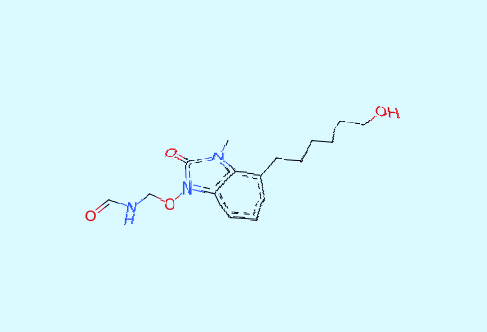 Cn1c(=O)n(OCNC=O)c2cccc(CCCCCCO)c21